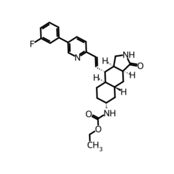 CCOC(=O)N[C@@H]1CC[C@@H]2[C@@H](C1)C[C@@H]1C(=O)NC[C@@H]1[C@H]2/C=C/c1ccc(-c2cccc(F)c2)cn1